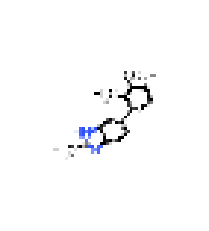 Cc1nc2ccc(-c3cccc(C(=O)O)c3C)cc2[nH]1